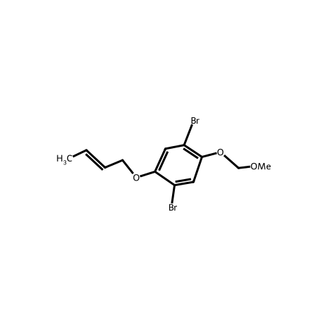 C/C=C/COc1cc(Br)c(OCOC)cc1Br